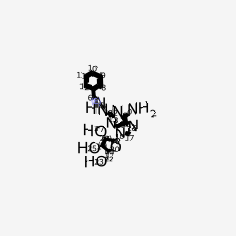 Nc1nc(N/N=C/c2ccccc2)nc2c1ncn2[C@@H]1O[C@H](CO)[C@@H](O)[C@H]1O